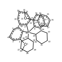 COc1ccccc1P(c1ccccc1OC)(c1ccccc1-c1ccccc1)(C1CCCCC1)C1CCCCC1